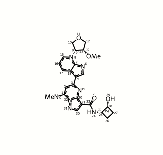 CNc1cc(-c2cnc3n([C@@H]4COC[C@H]4OC)cccc2-3)nc2c(C(=O)N[C@H]3CC[C@@H]3O)cnn12